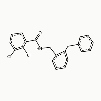 O=C(NCc1ccccc1Cc1ccccc1)c1cccc(Cl)c1Cl